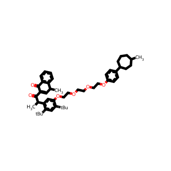 CC1CCCC(c2ccc(OCCOCCOCCOc3cc(C(C)C(=O)C4=CC(C)c5ccccc5C4=O)c(C(C)(C)C)cc3C(C)(C)C)cc2)CC1